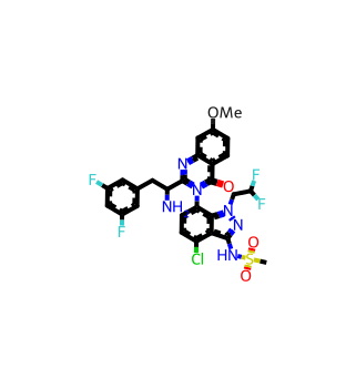 COc1ccc2c(=O)n(-c3ccc(Cl)c4c(NS(C)(=O)=O)nn(CC(F)F)c34)c(C(N)Cc3cc(F)cc(F)c3)nc2c1